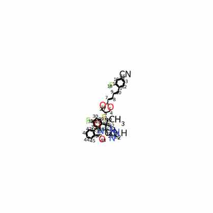 C[C@@H](S[C@H]1CO[C@H](C=CC=Cc2ccc(C#N)cc2F)OC1)[C@@](Cn1cncn1)(c1ccc(F)cc1F)C(C(=O)O)N1C(=O)c2ccccc2C1=O